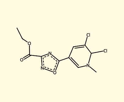 CCOC(=O)c1noc(C2=CN(C)C(Cl)C(Cl)=C2)n1